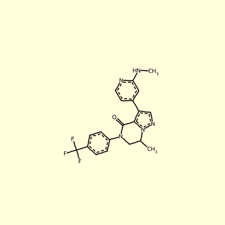 CNc1cc(-c2cnn3c2C(=O)N(c2ccc(C(F)(F)F)cc2)CC3C)ccn1